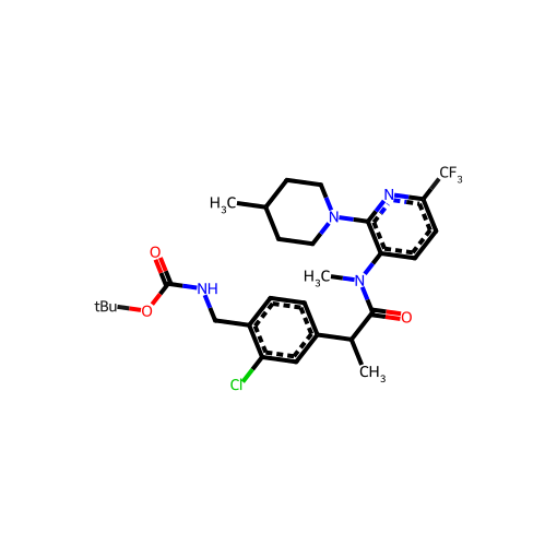 CC1CCN(c2nc(C(F)(F)F)ccc2N(C)C(=O)C(C)c2ccc(CNC(=O)OC(C)(C)C)c(Cl)c2)CC1